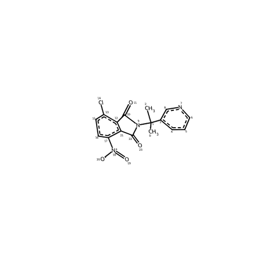 CC(C)(c1cccnc1)N1C(=O)c2c(Cl)ccc([N+](=O)[O-])c2C1=O